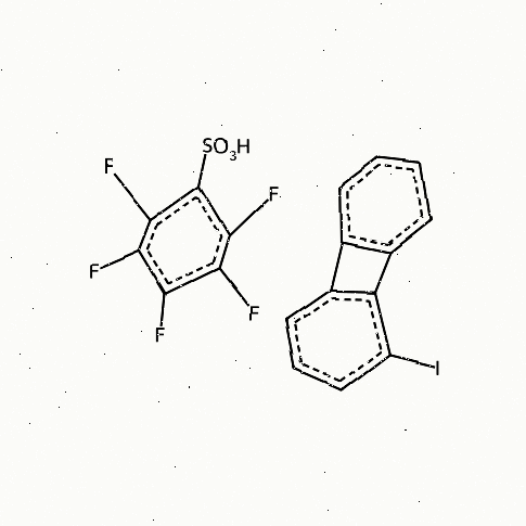 Ic1cccc2c1-c1ccccc1-2.O=S(=O)(O)c1c(F)c(F)c(F)c(F)c1F